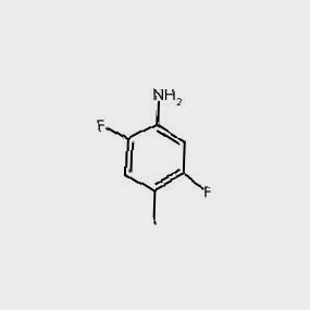 Cc1cc(F)c(N)cc1F